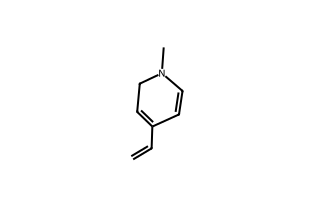 C=CC1=CCN(C)C=C1